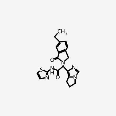 CCc1ccc2c(c1)C(=O)N(C(C(=O)Nc1nccs1)c1ncn3c1CCC3)C2